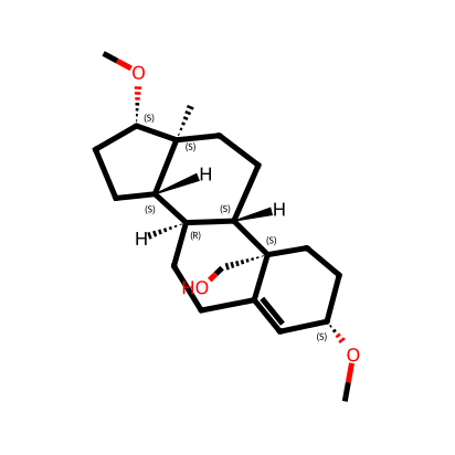 CO[C@@H]1C=C2CC[C@@H]3[C@H](CC[C@]4(C)[C@@H](OC)CC[C@@H]34)[C@@]2(CO)CC1